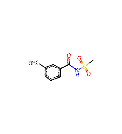 CS(=O)(=O)NC(=O)c1cccc(C=O)c1